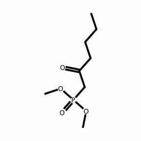 CCCCC(=O)CP(=O)(OC)OC